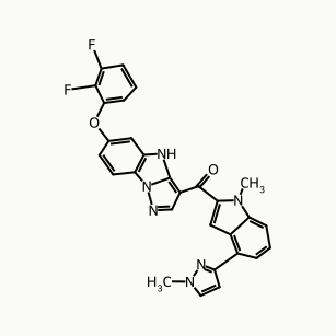 Cn1ccc(-c2cccc3c2cc(C(=O)c2cnn4c2[nH]c2cc(Oc5cccc(F)c5F)ccc24)n3C)n1